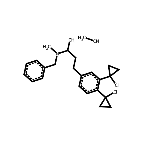 CC#N.CC(CCc1ccc(C2(Cl)CC2)c(C2(Cl)CC2)c1)N(C)Cc1ccccc1